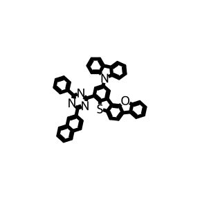 c1ccc(-c2nc(-c3ccc4ccccc4c3)nc(-c3cc(-n4c5ccccc5c5ccccc54)cc4c3sc3ccc5c6ccccc6oc5c34)n2)cc1